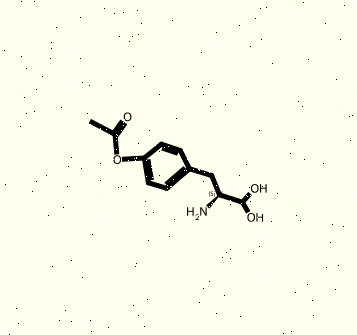 CC(=O)Oc1ccc(C[C@H](N)C(O)O)cc1